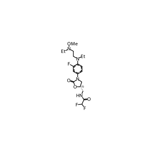 CCN(CCN(CC)c1ccc(N2C[C@H](CNC(=O)C(F)F)OC2=O)cc1F)OC